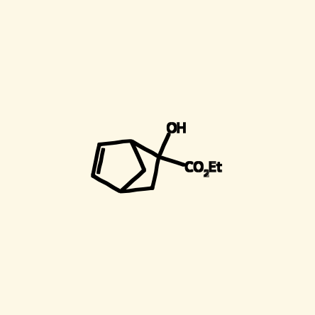 CCOC(=O)C1(O)CC2C=CC1C2